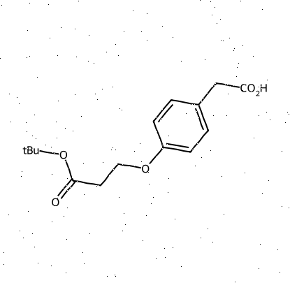 CC(C)(C)OC(=O)CCOc1ccc(CC(=O)O)cc1